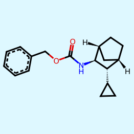 O=C(N[C@H]1[C@@H]2CC[C@@H](C2)[C@@H]1C1CC1)OCc1ccccc1